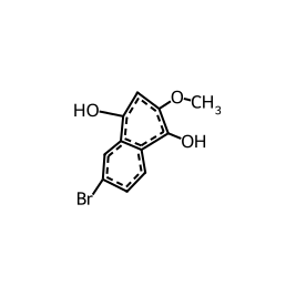 COc1cc(O)c2cc(Br)ccc2c1O